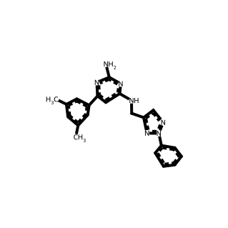 Cc1cc(C)cc(-c2cc(NCc3cnn(-c4ccccc4)n3)nc(N)n2)c1